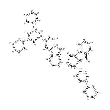 c1ccc(-c2ccc(-c3nc(-c4cccc5c4sc4ccc(-c6nc(-c7ccccc7)nc(-c7ccccc7)n6)cc45)nc4c3sc3ccccc34)cc2)cc1